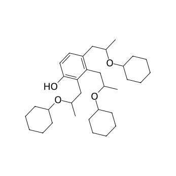 CC(Cc1ccc(O)c(CC(C)OC2CCCCC2)c1CC(C)OC1CCCCC1)OC1CCCCC1